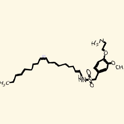 CCCCCCCC/C=C\CCCCCCCCNS(=O)(=O)Cc1ccc(OCCN)c(OC)c1